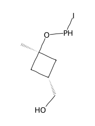 C[C@]1(OPI)C[C@H](CO)C1